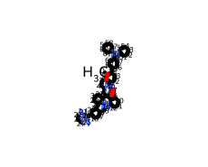 C/C=C\C=C/C1CC2(c3ccccc3N3Cc4ccc(-c5ncccn5)cc4-c4cccc2c43)c2ccccc2N1c1ccc(-c2ccc(N(c3ccccc3)c3ccccc3)cc2)cc1